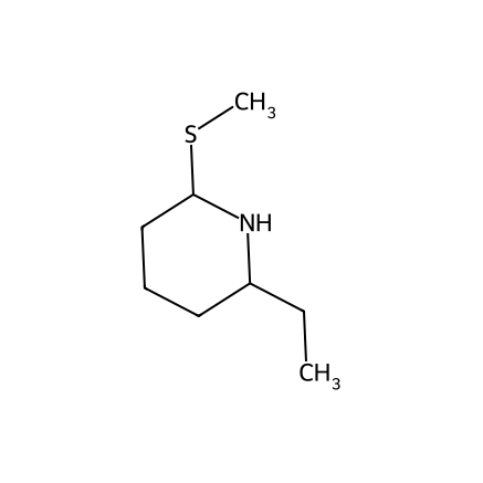 CCC1CCCC(SC)N1